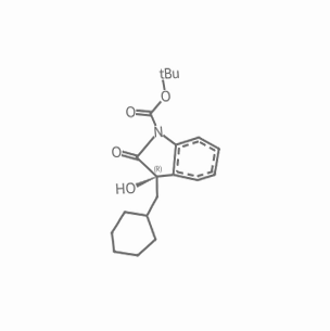 CC(C)(C)OC(=O)N1C(=O)[C@@](O)(CC2CCCCC2)c2ccccc21